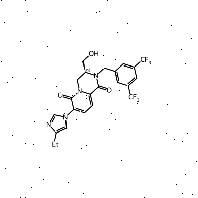 CCc1cn(-c2ccc3n(c2=O)C[C@@H](CO)N(Cc2cc(C(F)(F)F)cc(C(F)(F)F)c2)C3=O)cn1